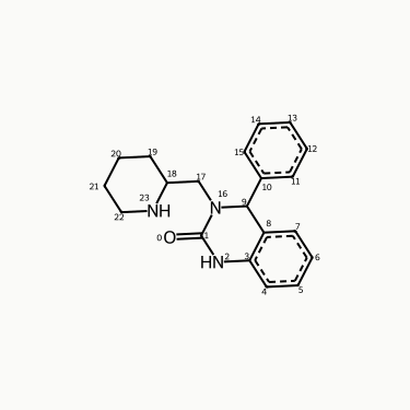 O=C1Nc2ccccc2C(c2ccccc2)N1CC1CCCCN1